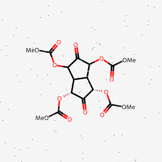 COC(=O)OC1C(=O)C(OC(=O)OC)C2C1[C@H](OC(=O)OC)C(=O)[C@@H]2OC(=O)OC